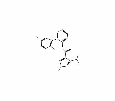 Cn1cc(C(=O)Nc2ccccc2-c2cc(Cl)ccc2F)c(C(F)F)n1